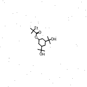 CCC(C)(C)C(=O)OC1CC(C(C)(C)O)CC(C(C)(C)O)C1